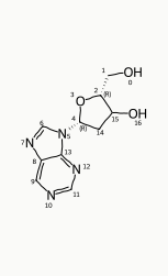 OC[C@H]1O[C@@H](n2cnc3cncnc32)CC1O